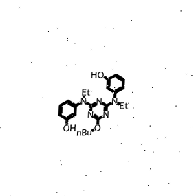 CCCCOc1nc(N(CC)c2cccc(O)c2)nc(N(CC)c2cccc(O)c2)n1